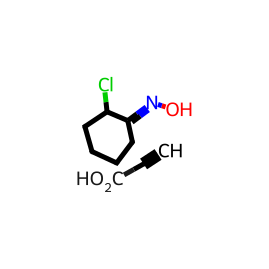 C#CC(=O)O.ON=C1CCCCC1Cl